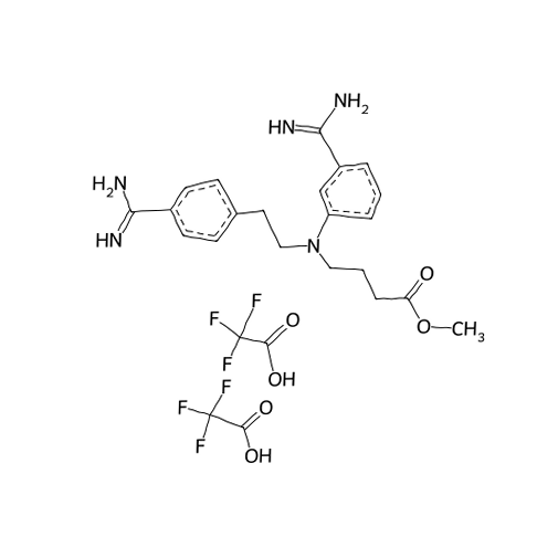 COC(=O)CCCN(CCc1ccc(C(=N)N)cc1)c1cccc(C(=N)N)c1.O=C(O)C(F)(F)F.O=C(O)C(F)(F)F